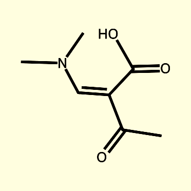 CC(=O)C(=CN(C)C)C(=O)O